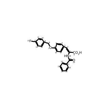 O=C(O)C(=Cc1ccc(OCc2ccc(F)cc2)cc1)NC(=O)c1ccccc1